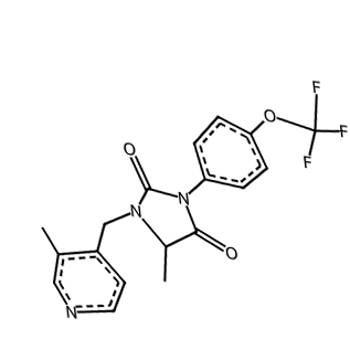 Cc1cnccc1CN1C(=O)N(c2ccc(OC(F)(F)F)cc2)C(=O)C1C